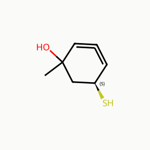 CC1(O)C=C=C[C@@H](S)C1